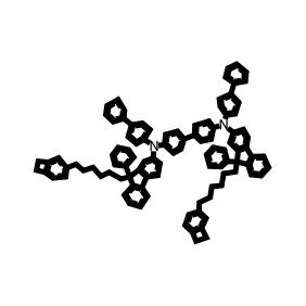 c1ccc(-c2ccc(N(c3ccc(-c4ccc(N(c5ccc(-c6ccccc6)cc5)c5ccc6c(c5)C(CCCCCCc5ccc7c(c5)CC7)(c5ccccc5)c5ccccc5-6)cc4)cc3)c3ccc4c(c3)C(CCCCCCc3ccc5c(c3)CC5)(c3ccccc3)c3ccccc3-4)cc2)cc1